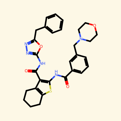 O=C(Nc1sc2c(c1C(=O)Nc1nnc(Cc3ccccc3)o1)CCCC2)c1cccc(CN2CCOCC2)c1